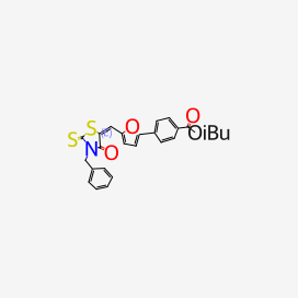 CC(C)COC(=O)c1ccc(-c2ccc(/C=C3/SC(=S)N(Cc4ccccc4)C3=O)o2)cc1